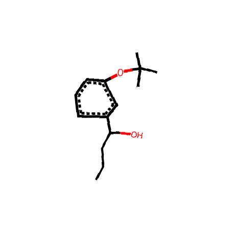 CCCC(O)c1cccc(OC(C)(C)C)c1